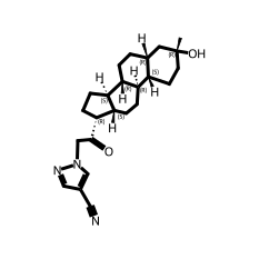 C[C@@]1(O)CC[C@H]2[C@H](CC[C@@H]3[C@@H]2CC[C@H]2[C@H]3CC[C@H]2C(=O)Cn2cc(C#N)cn2)C1